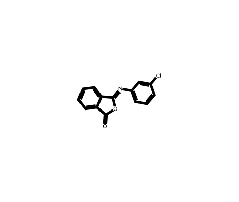 O=C1O/C(=N\c2cccc(Cl)c2)c2ccccc21